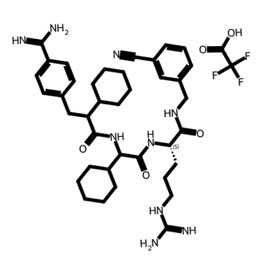 N#Cc1cccc(CNC(=O)[C@H](CCCNC(=N)N)NC(=O)C(NC(=O)C(Cc2ccc(C(=N)N)cc2)C2CCCCC2)C2CCCCC2)c1.O=C(O)C(F)(F)F